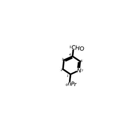 CCCC1CC=C(C=O)C=N1